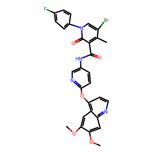 COc1cc2nccc(Oc3ccc(NC(=O)c4c(C)c(Br)cn(-c5ccc(F)cc5)c4=O)cn3)c2cc1OC